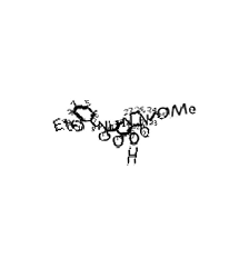 CCOc1ccccc1CNC(=O)c1cn2c(c(O)c1=O)C(=O)N(CCOC)CC2